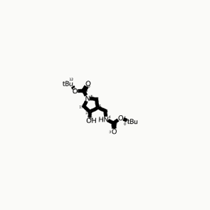 CC(C)(C)OC(=O)NCC1CN(C(=O)OC(C)(C)C)CC1O